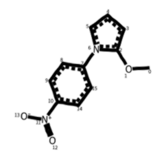 COc1cccn1-c1ccc([N+](=O)[O-])cc1